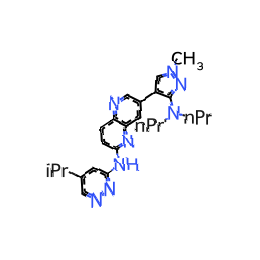 CCCN(CCC)c1nn(C)cc1-c1cnc2ccc(Nc3cc(C(C)C)cnn3)nc2c1